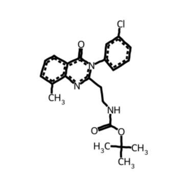 Cc1cccc2c(=O)n(-c3cccc(Cl)c3)c(CCNC(=O)OC(C)(C)C)nc12